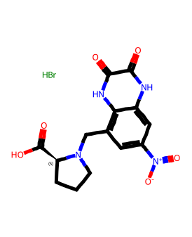 Br.O=C(O)[C@@H]1CCCN1Cc1cc([N+](=O)[O-])cc2[nH]c(=O)c(=O)[nH]c12